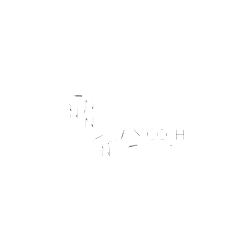 O=C(O)c1ccc(C2=NCC3=C2CN(c2ncccn2)C3)cc1